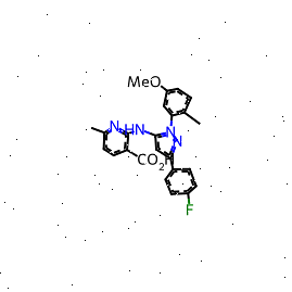 COc1ccc(C)c(-n2nc(-c3ccc(F)cc3)cc2Nc2nc(C)ccc2C(=O)O)c1